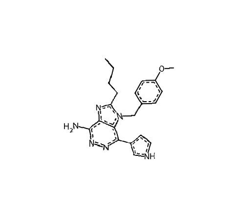 CCCCc1nc2c(N)nnc(-c3cc[nH]c3)c2n1Cc1ccc(OC)cc1